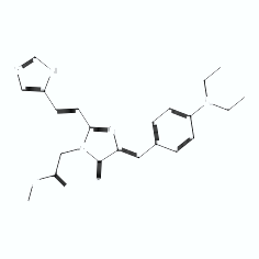 CCN(CC)c1ccc(/C=C2N=C(/C=C/c3cnc[nH]3)N(CC(=O)OC)C\2=O)cc1